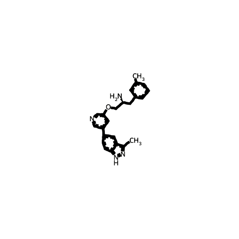 Cc1cccc(C[C@H](N)COc2cncc(-c3ccc4[nH]nc(C)c4c3)c2)c1